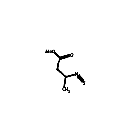 COC(=O)CC(C)N=S